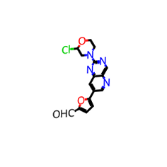 O=Cc1ccc(-c2cnc3cnc(N4CCOC(Cl)C4)nc3c2)o1